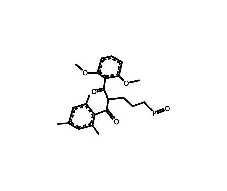 COc1cccc(OC)c1C(=O)C(CCCP=O)C(=O)c1c(C)cc(C)cc1C